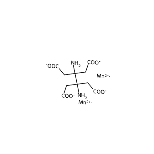 NC(CC(=O)[O-])(CC(=O)[O-])C(N)(CC(=O)[O-])CC(=O)[O-].[Mn+2].[Mn+2]